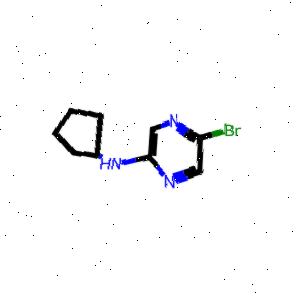 Brc1cnc(NC2CCCC2)cn1